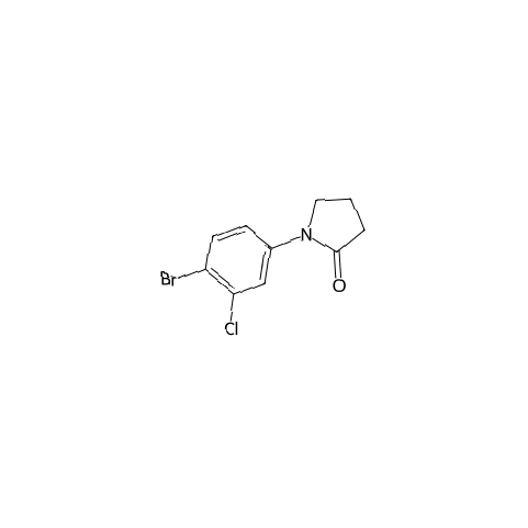 O=C1CCCN1c1ccc(Br)c(Cl)c1